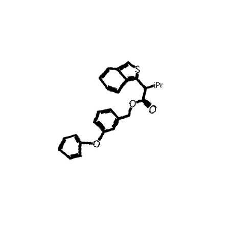 CC(C)C(C(=O)OCc1cccc(Oc2ccccc2)c1)c1scc2ccccc12